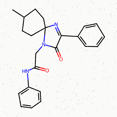 CC1CCC2(CC1)N=C(c1ccccc1)C(=O)N2CC(=O)Nc1ccccc1